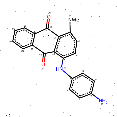 CNc1ccc(Nc2ccc(N)cc2)c2c1C(=O)c1ccccc1C2=O